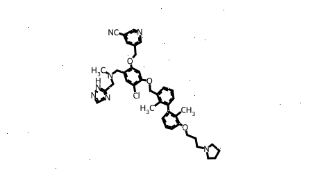 Cc1c(COc2cc(OCc3cncc(C#N)c3)c(CN(C)Cc3ncn[nH]3)cc2Cl)cccc1-c1cccc(OCCCN2CCCC2)c1C